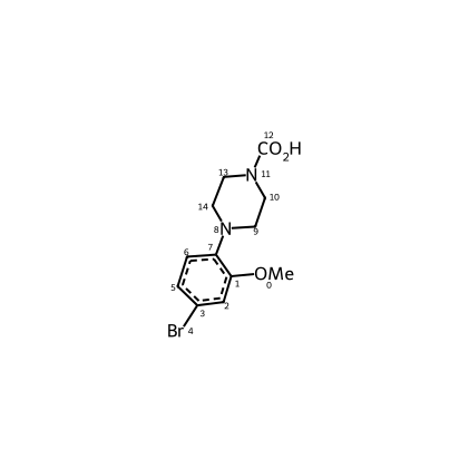 COc1cc(Br)ccc1N1CCN(C(=O)O)CC1